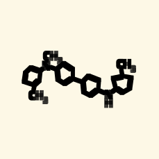 Cc1cccc(Nc2ccc(-c3ccc(N(C)c4cccc(C)c4)cc3)cc2)c1